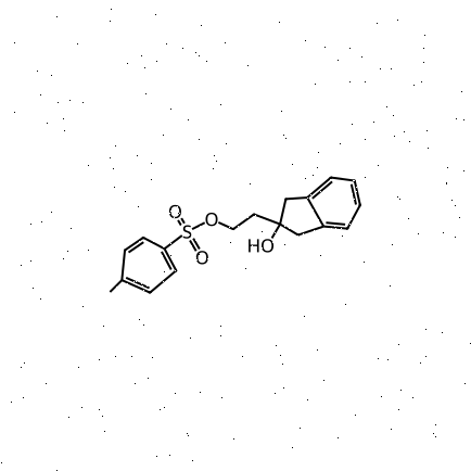 Cc1ccc(S(=O)(=O)OCCC2(O)Cc3ccccc3C2)cc1